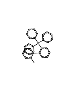 Cc1ccccc1-c1ccccc1[B-](c1ccccc1)(c1ccccc1)c1ccccc1